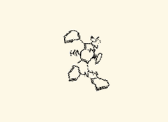 Cc1[nH]c2c(-c3ccccc3)c(C(F)(F)F)nn2c(=O)c1-c1nc2ccccc2n1-c1ccccc1